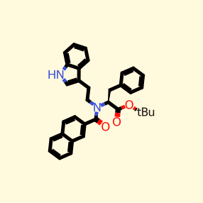 CC(C)(C)OC(=O)[C@H](Cc1ccccc1)N(CCc1c[nH]c2ccccc12)C(=O)c1ccc2ccccc2c1